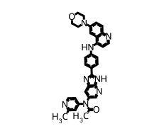 CC(=O)N(c1ccnc(C)c1)c1cnc2[nH]c(-c3ccc(Nc4ccnc5ccc(N6CCOCC6)cc45)cc3)nc2c1